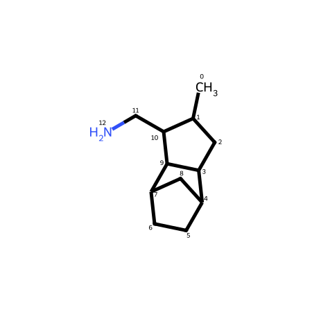 CC1CC2C3CCC(C3)C2C1CN